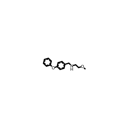 COCCNCc1ccc(Oc2ccccc2)cc1